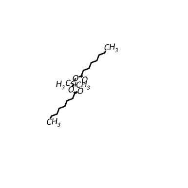 CCCCCCCC(=O)O[Si](C)(C)OC(=O)CCCCCCC